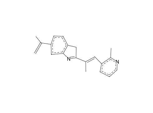 C=C(C)c1ccc2c(c1)N=C(/C(C)=C/c1cccnc1C)C2